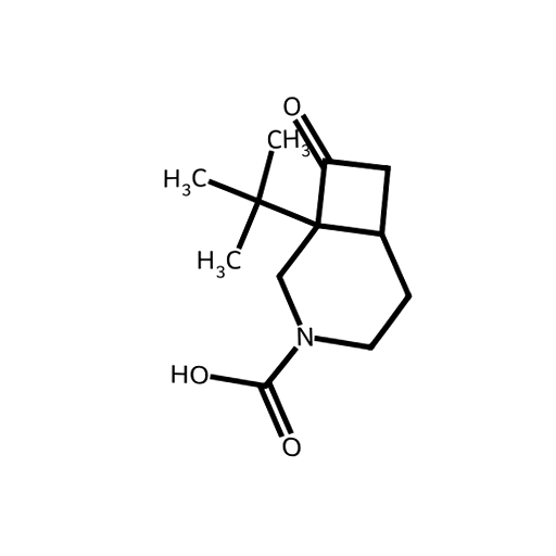 CC(C)(C)C12CN(C(=O)O)CCC1CC2=O